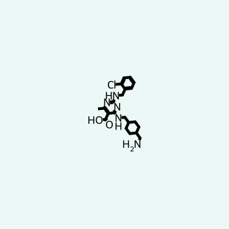 Cc1nc(NCc2ccccc2Cl)nc(NCC2CCC(CN)CC2)c1C(=O)O